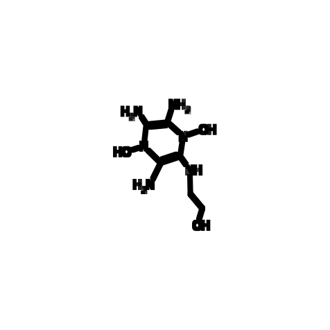 NC1=C(N)N(O)C(NCCO)=C(N)N1O